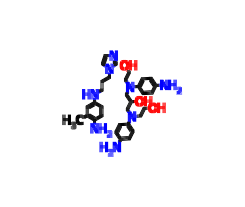 Cc1cc(NCCCn2ccnc2)ccc1N.Nc1ccc(N(CCO)CC(O)CN(CCO)c2ccc(N)cc2)cc1